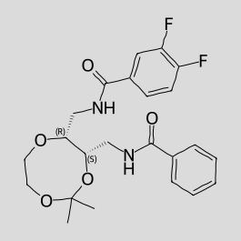 CC1(C)OCCO[C@H](CNC(=O)c2ccc(F)c(F)c2)[C@H](CNC(=O)c2ccccc2)O1